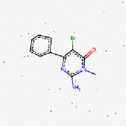 Cn1c(N)nc(-c2ccccc2)c(Br)c1=O